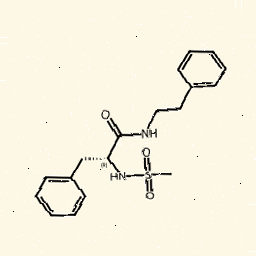 CS(=O)(=O)N[C@H](Cc1ccccc1)C(=O)NCCc1ccccc1